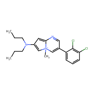 CCCN(CCC)C1=C[N+]2(C)C=C(c3cccc(Cl)c3Cl)C=NC2=C1